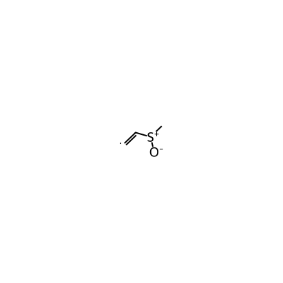 [CH]=C[S+](C)[O-]